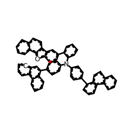 c1ccc(N(c2ccc(-c3cccc4c3ccc3ccccc34)cc2)c2ccc(-c3cc4ccccc4c4ccccc34)cc2)c(-c2ccc3oc4c5ccccc5ccc4c3c2)c1